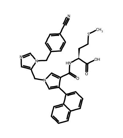 CSCC[C@H](NC(=O)c1cn(Cc2cncn2Cc2ccc(C#N)cc2)cc1-c1cccc2ccccc12)C(=O)O